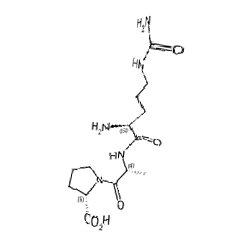 C[C@@H](NC(=O)[C@@H](N)CCCNC(N)=O)C(=O)N1CCC[C@H]1C(=O)O